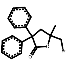 CC1(CBr)CC(c2ccccc2)(c2ccccc2)C(=O)O1